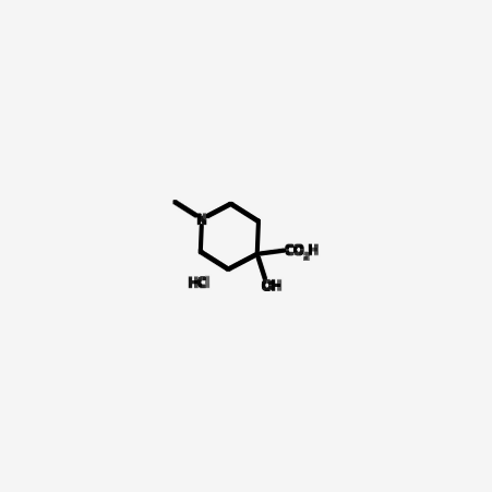 CN1CCC(O)(C(=O)O)CC1.Cl